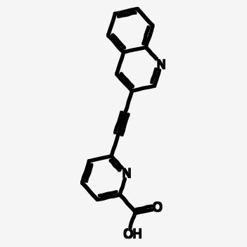 O=C(O)c1cccc(C#Cc2cnc3ccccc3c2)n1